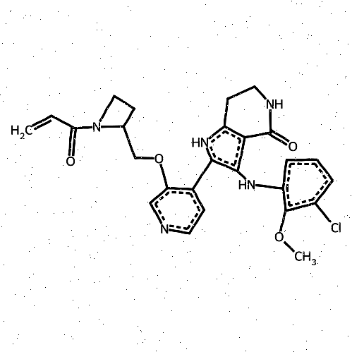 C=CC(=O)N1CCC1COc1cnccc1-c1[nH]c2c(c1Nc1cccc(Cl)c1OC)C(=O)NCC2